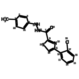 Cc1ccc(NNC(=O)c2nc(-c3ccccc3Cl)cs2)cc1